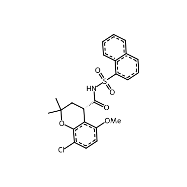 COc1ccc(Cl)c2c1[C@@H](C(=O)NS(=O)(=O)c1cccc3ccccc13)CC(C)(C)O2